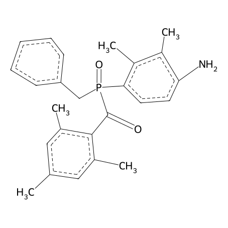 Cc1cc(C)c(C(=O)P(=O)(Cc2ccccc2)c2ccc(N)c(C)c2C)c(C)c1